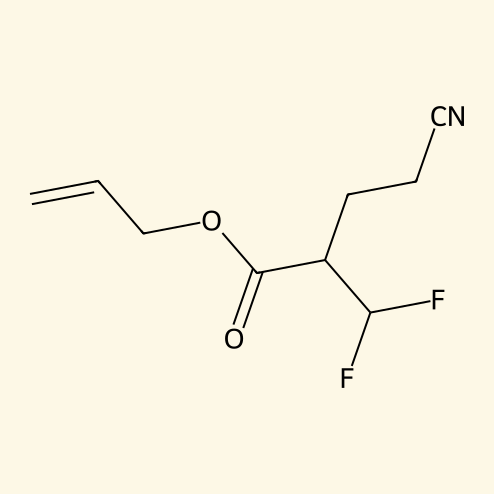 C=CCOC(=O)C(CCC#N)C(F)F